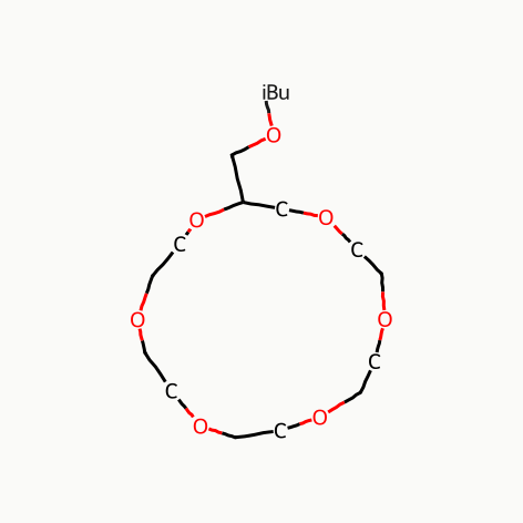 CCC(C)OCC1COCCOCCOCCOCCOCCO1